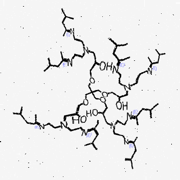 C/C(CC(C)C)=N\CCN(CC/N=C(\C)CC(C)C)CC(O)COCC(COCC(O)CN(CC/N=C(\C)CC(C)C)CC/N=C(\C)CC(C)C)(COCC(O)CN(CC/N=C(\C)CC(C)C)CC/N=C(\C)CC(C)C)COCC(O)CN(CC/N=C(\C)CC(C)C)CC/N=C(\C)CC(C)C